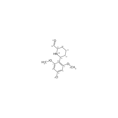 COc1cc(Cl)cc(OC)c1C1CCCC(C=O)N1